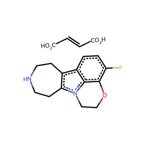 Fc1ccc2c3c(n4c2c1OCC4)CCNCC3.O=C(O)C=CC(=O)O